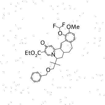 CCOC(=O)c1cn2c(cc1=O)C1=Cc3c(ccc(OC)c3OC(F)F)CCC1CC2C(C)(C)COCc1ccccc1